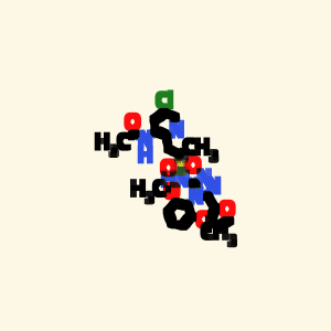 COc1cccc(OC)c1-n1c(NS(=O)(=O)[C@H](C)Cc2ncc(Cl)cc2NC(C)=O)nnc1-c1ccco1